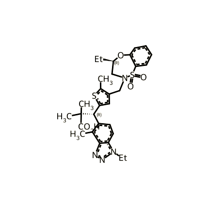 CC[C@@H]1CN(Cc2cc([C@H](c3ccc4c(nnn4CC)c3C)C(C)(C)C(=O)O)sc2C)S(=O)(=O)c2ccccc2O1